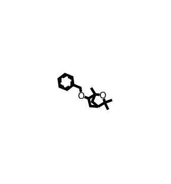 CC1(C)OC2(C)CC1CC2OCc1ccccc1